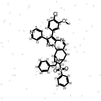 COc1cc(-c2c(-c3ccncc3)nn3c4c(cnc23)CC2C(S(=O)(=O)c3ccccc3)CC4N2Cc2ccccc2)ccc1Cl